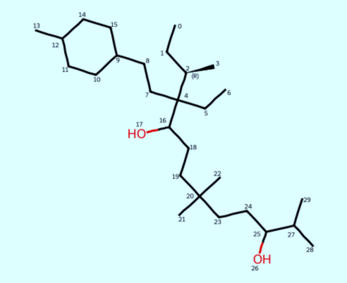 CC[C@@H](C)C(CC)(CCC1CCC(C)CC1)C(O)CCC(C)(C)CCC(O)C(C)C